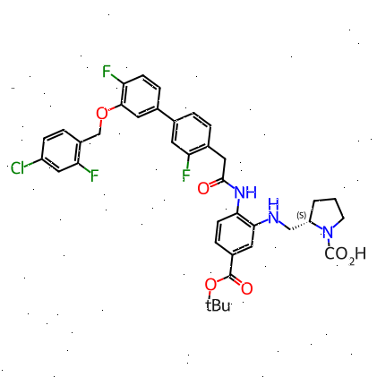 CC(C)(C)OC(=O)c1ccc(NC(=O)Cc2ccc(-c3ccc(F)c(OCc4ccc(Cl)cc4F)c3)cc2F)c(NC[C@@H]2CCCN2C(=O)O)c1